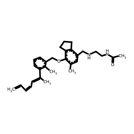 C=C/C=C\C=C(/C)c1cccc(COc2c(C)cc(CNCCNC(C)=O)c3c2CCC3)c1C